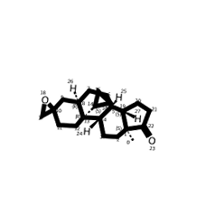 C[C@]12CC[C@H]3[C@@H](CC[C@@H]4CC5(CC[C@@]43C3CC3)CO5)[C@@H]1CCC2=O